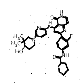 CC1(C)CN(c2ccc(Nc3cc(-c4ccc(NC(=O)C5CCCCC5)cc4F)nc4cc[nH]c(=O)c34)nc2)CC[C@H]1O